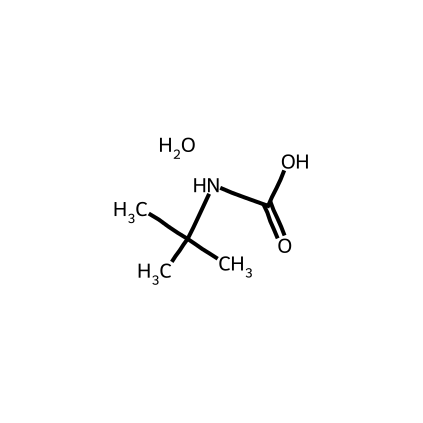 CC(C)(C)NC(=O)O.O